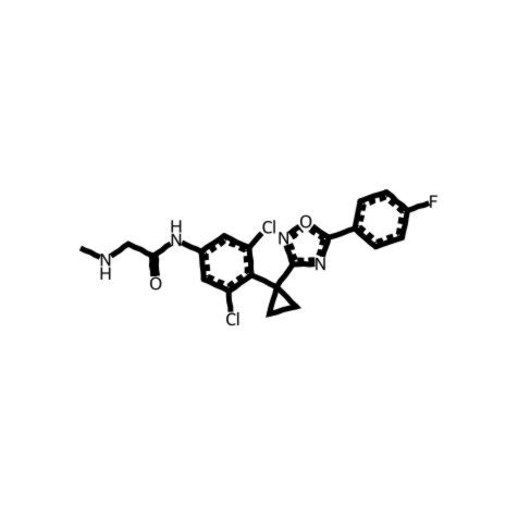 CNCC(=O)Nc1cc(Cl)c(C2(c3noc(-c4ccc(F)cc4)n3)CC2)c(Cl)c1